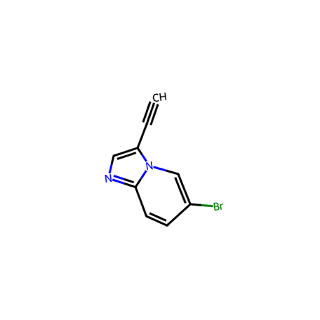 C#Cc1cnc2ccc(Br)cn12